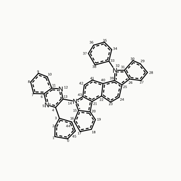 c1ccc(-c2nc3ccccc3nc2-n2c3ccccc3c3c4ccc5c6ccccc6n(-c6ccccc6)c5c4ccc32)cc1